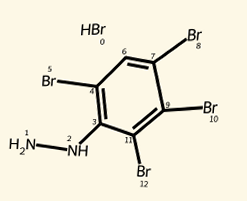 Br.NNc1c(Br)cc(Br)c(Br)c1Br